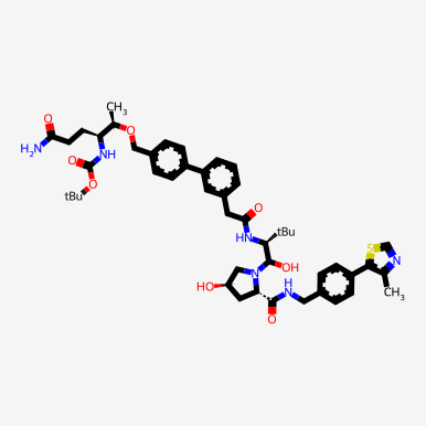 Cc1ncsc1-c1ccc(CNC(=O)[C@@H]2C[C@@H](O)CN2C(O)[C@@H](NC(=O)Cc2cccc(-c3ccc(CO[C@H](C)[C@H](CCC(N)=O)NC(=O)OC(C)(C)C)cc3)c2)C(C)(C)C)cc1